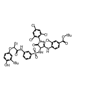 CCC(Oc1ccc(O)c(C(C)(C)C)c1)C(=O)Nc1cccc(S(=O)(=O)NC2C(=O)N(c3c(Cl)cc(Cl)cc3Cl)N=C2Nc2ccc(C(=O)OC(C)(C)C)cc2Cl)c1